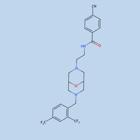 N#Cc1ccc(C(=O)NCCN2CC3CN(Cc4ccc(C(F)(F)F)cc4C(F)(F)F)CC(C2)O3)cc1